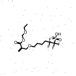 C=C(COCCCCC(F)(F)C(F)(F)S(=O)(=O)O)C(=O)OCOCC